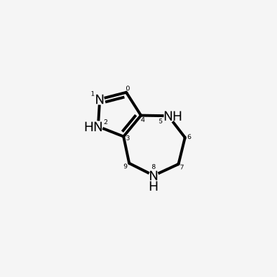 c1n[nH]c2c1NCCNC2